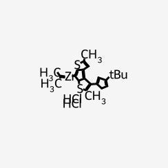 C[C](C)=[Zr][C]1=c2sc(C)cc2=C2C(C3=CC(C(C)(C)C)=CC3)=C(C)SC21.Cl.Cl